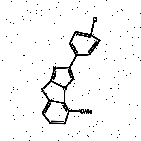 COc1cccc2sc3nc(-c4ccc(Cl)cc4)cn3c12